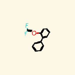 FC(F)=COc1ccccc1-c1ccccc1